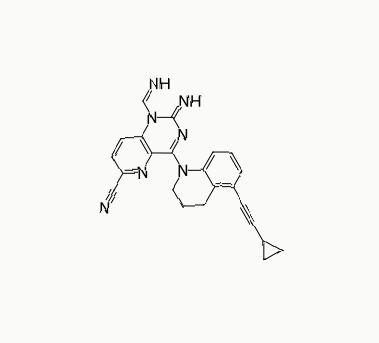 N#Cc1ccc2c(n1)c(N1CCCc3c(C#CC4CC4)cccc31)nc(=N)n2C=N